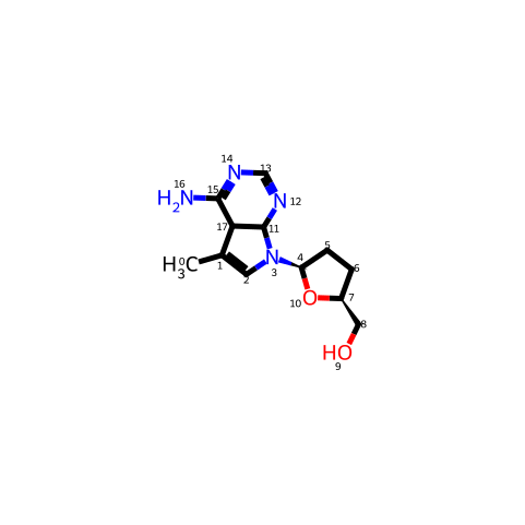 CC1=CN([C@H]2CC[C@@H](CO)O2)C2N=CN=C(N)C12